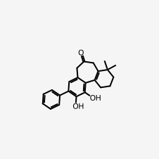 CC1(C)CCCC2=C1CC(=O)Cc1cc(-c3ccccc3)c(O)c(O)c12